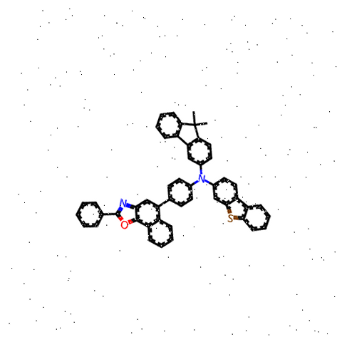 CC1(C)c2ccccc2-c2cc(N(c3ccc(-c4cc5nc(-c6ccccc6)oc5c5ccccc45)cc3)c3ccc4c(c3)sc3ccccc34)ccc21